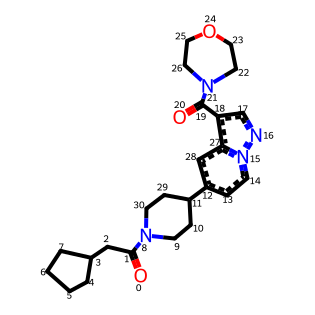 O=C(CC1CCCC1)N1CCC(c2ccn3ncc(C(=O)N4CCOCC4)c3c2)CC1